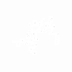 CCCSP(=O)(OCC)Oc1cccc(OS(=O)(=O)CCCCl)c1